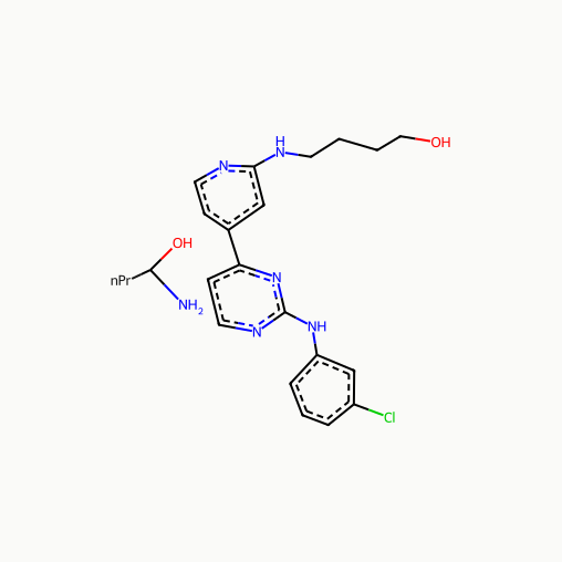 CCCC(N)O.OCCCCNc1cc(-c2ccnc(Nc3cccc(Cl)c3)n2)ccn1